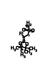 CC1(C)OB(C(F)CS(N)(=O)=O)OC1(C)C